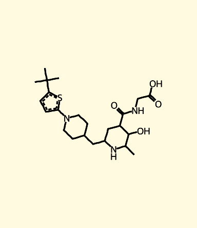 CC1NC(CC2CCN(c3ccc(C(C)(C)C)s3)CC2)CC(C(=O)NCC(=O)O)C1O